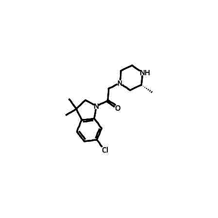 C[C@@H]1CN(CC(=O)N2CC(C)(C)c3ccc(Cl)cc32)CCN1